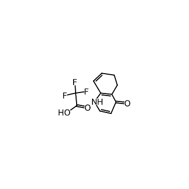 O=C(O)C(F)(F)F.O=c1cc[nH]c2c1CCC=C2